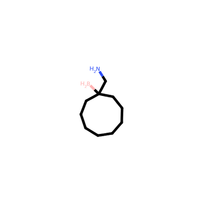 BC1(CN)CCCCCCCC1